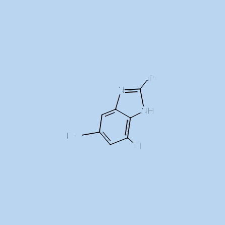 CC(C)c1nc2cc(C(F)(F)F)cc(Cl)c2[nH]1